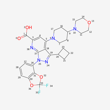 O=C(O)c1cc(N2CCC(N3CCOCC3)CC2)c2c(C3CCC3)nn(-c3cccc4c3OC(F)(F)O4)c2n1